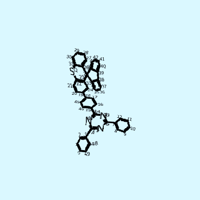 c1ccc(-c2nc(-c3ccccc3)nc(-c3ccc(-c4ccc5c(c4)C4(c6ccccc6S5)c5ccccc5-c5ccccc54)cc3)n2)cc1